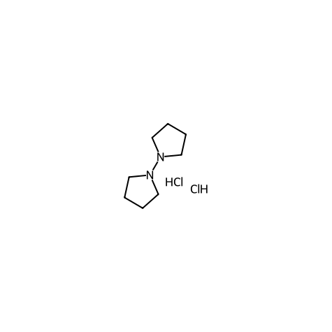 C1CCN(N2CCCC2)C1.Cl.Cl